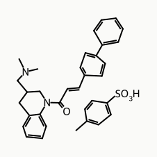 CN(C)CC1Cc2ccccc2N(C(=O)C=Cc2ccc(-c3ccccc3)cc2)C1.Cc1ccc(S(=O)(=O)O)cc1